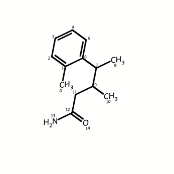 Cc1ccccc1C(C)C(C)CC(N)=O